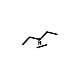 CC.CCPCC